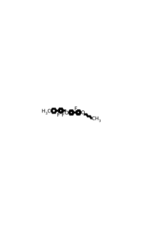 CCCCCCOc1ccc(-c2ccc(OCc3ccc(C4CCC(C)CC4)c(F)c3F)cc2)c(F)c1